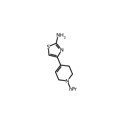 CCCN1CC=C(c2csc(N)n2)CC1